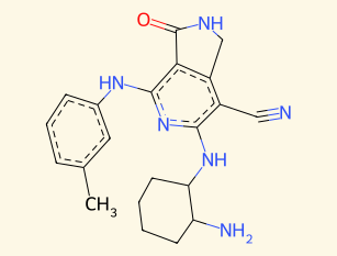 Cc1cccc(Nc2nc(NC3CCCCC3N)c(C#N)c3c2C(=O)NC3)c1